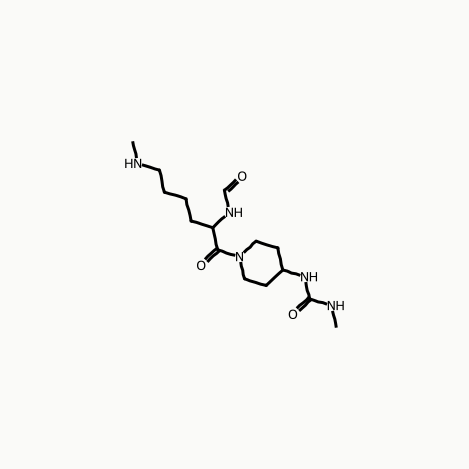 CNCCCCC(NC=O)C(=O)N1CCC(NC(=O)NC)CC1